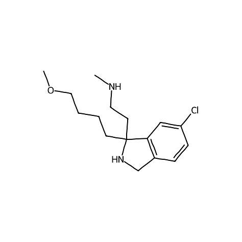 CNCCC1(CCCCOC)NCc2ccc(Cl)cc21